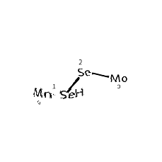 [Mn].[SeH][Se][Mo]